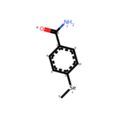 C[Se]c1ccc(C(N)=O)cc1